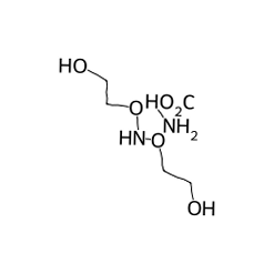 NC(=O)O.OCCONOCCO